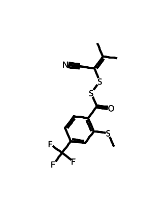 CSc1cc(C(F)(F)F)ccc1C(=O)SSC(C#N)=C(C)C